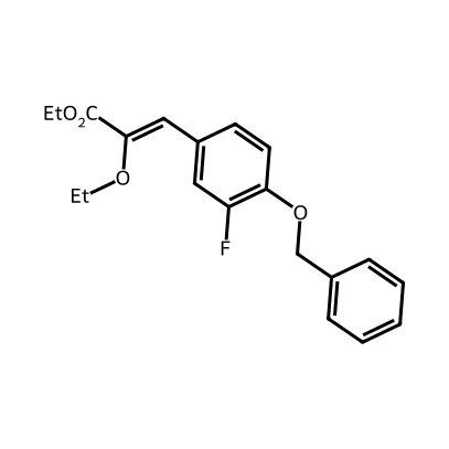 CCOC(=O)/C(=C/c1ccc(OCc2ccccc2)c(F)c1)OCC